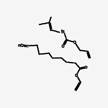 C=CCOC(=O)CC.C=COC(=O)CCCCCCCCCCCCCCCCC.CC=C(C)C